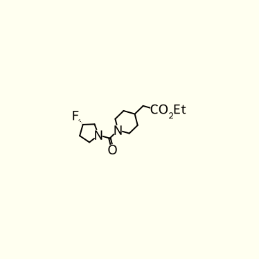 CCOC(=O)CC1CCN(C(=O)N2CC[C@H](F)C2)CC1